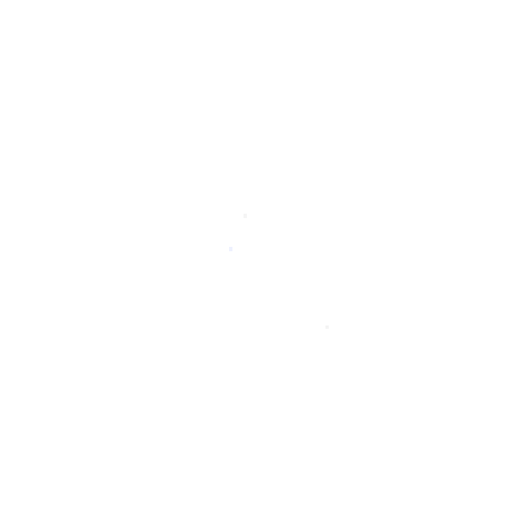 O=NCOC(=O)N1CCC1